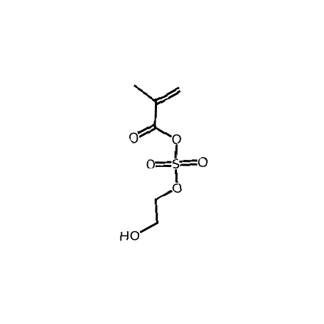 C=C(C)C(=O)OS(=O)(=O)OCCO